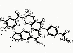 CNC(=O)c1ccc(-n2c(NC(C)c3ccc4c(c3)OCO4)nc3c(c2=O)C[C@@H](C)N(C(=O)c2ccc(Cl)c(Cl)c2)C3)cc1